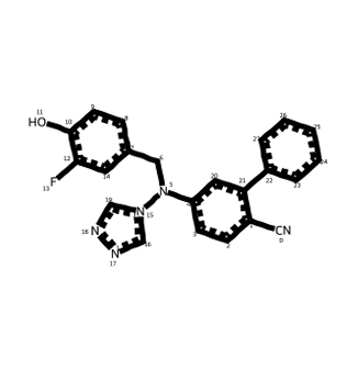 N#Cc1ccc(N(Cc2ccc(O)c(F)c2)n2cnnc2)cc1-c1ccccc1